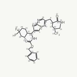 O=C(N[C@H](c1cn2nc(CC3C[C@H](C(F)(F)F)CNC3=O)cnc2n1)C1CCC(F)(F)CC1)OCc1ccccc1